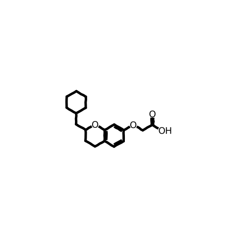 O=C(O)COc1ccc2c(c1)OC(CC1CCCCC1)CC2